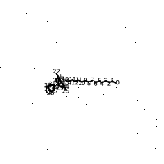 CCCCCCCCCCCCCCCC[N+](C)(C)C(CCC)(CCC)c1ccccc1